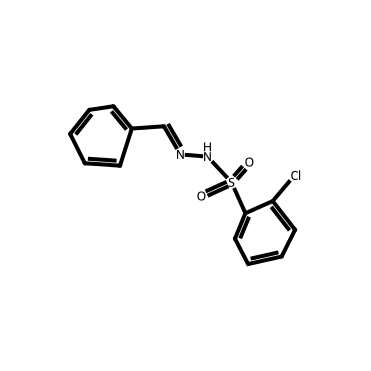 O=S(=O)(NN=Cc1ccccc1)c1ccccc1Cl